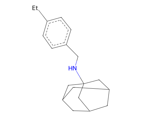 CCc1ccc(CNC23CC4CC(CC(C4)C2)C3)cc1